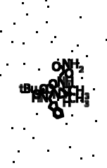 CC(C)(C)OC(=O)N[C@H](C(=O)N1C[C@H]2[C@@H]([C@H]1C(=O)NCC(=O)C(N)=O)C2(C)C)C1Cc2ccccc2C1